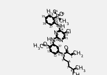 C=CC(=O)N(CCCC(C)C)c1ccc(OC)c(Nc2ncc(Cl)c(Nc3ccccc3P(C)(C)=O)n2)c1